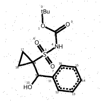 CC(C)(C)OC(=O)NS(=O)(=O)C1(C(O)c2ccccc2)CC1